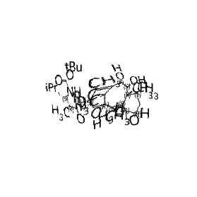 CC1=C2[C@H](O)[C@@H](O)[C@@]3(C)[C@H]([C@H](C)[C@](O)(C[C@@H]1OC(=O)[C@H](C)[C@H](CC(C)C)NC(=O)OC(C)(C)C)C2(C)C)[C@]1(C)CO[C@@H]1C[C@@H]3C